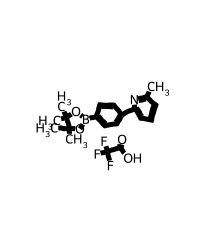 Cc1cccc(-c2ccc(B3OC(C)(C)C(C)(C)O3)cc2)n1.O=C(O)C(F)(F)F